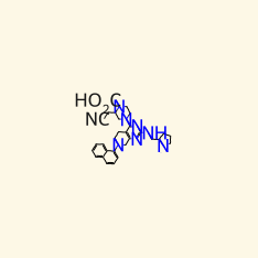 CN1CCCC1CNc1nc2c(c(N3CCN(C(=O)O)C(CC#N)C3)n1)CCN(c1cccc3ccccc13)C2